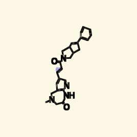 CN1CC(=O)Nc2ncc(/C=C/C(=O)N3CC4C=C(c5ccccc5)CC4C3)cc2C1